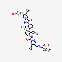 Cc1c(NC(=O)c2cc(C3CC3)c(C/N=C/C(CO)C(=O)O)cn2)cccc1-c1cccc(NC(=O)c2cc(C3CC3)c(CN3CC(O)C3)cn2)c1C